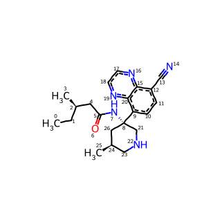 CC[C@@H](C)CC(=O)N[C@]1(c2ccc(C#N)c3nccnc23)CNC[C@@H](C)C1